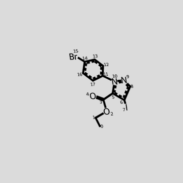 CCOC(=O)c1c(I)cnn1-c1ccc(Br)cc1